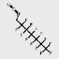 O=C=NCC(F)(F)C(F)(F)C(F)(F)C(F)(F)C(F)(F)C(F)(F)F